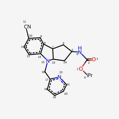 CC(C)OC(=O)NC1CC2c3cc(C#N)ccc3N(Cc3ccccn3)C2C1